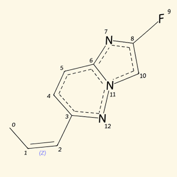 C/C=C\c1ccc2nc(F)cn2n1